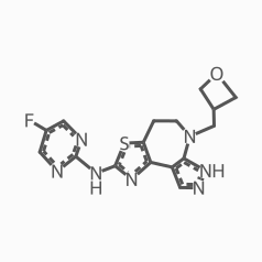 Fc1cnc(Nc2nc3c(s2)CCN(CC2COC2)c2[nH]ncc2-3)nc1